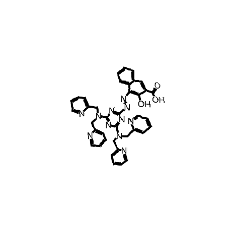 O=C(O)c1cc2ccccc2c(/N=N/c2nc(N(Cc3ccccn3)Cc3ccccn3)nc(N(Cc3ccccn3)Cc3ccccn3)n2)c1O